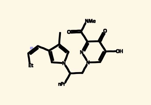 CC/C=C\c1cn(C(CCC)Cn2cc(O)c(=O)c(C(=O)NC)n2)cc1C